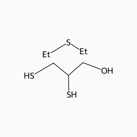 CCSCC.OCC(S)CS